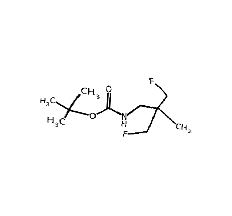 CC(CF)(CF)CNC(=O)OC(C)(C)C